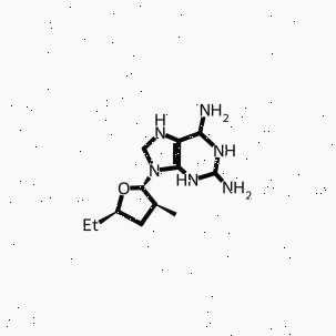 CC[C@@H]1C[C@H](C)[C@H](N2CNC3=C2NC(N)NC3N)O1